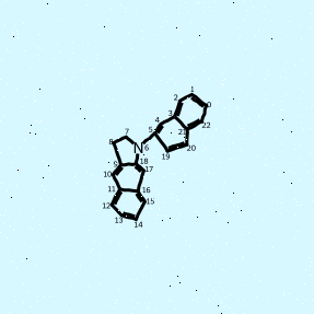 c1ccc2cc(N3CCc4cc5ccccc5cc43)ccc2c1